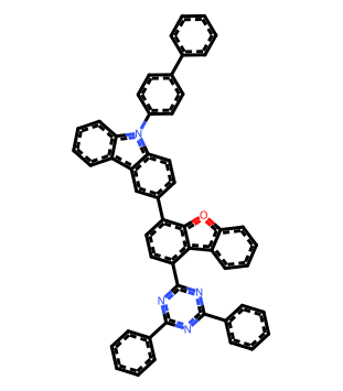 c1ccc(-c2ccc(-n3c4ccccc4c4cc(-c5ccc(-c6nc(-c7ccccc7)nc(-c7ccccc7)n6)c6c5oc5ccccc56)ccc43)cc2)cc1